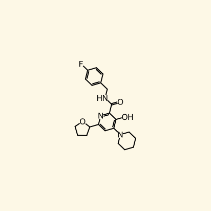 O=C(NCc1ccc(F)cc1)c1nc(C2CCCO2)cc(N2CCCCC2)c1O